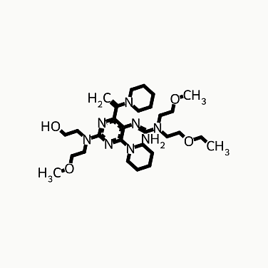 C=C(c1nc(N(CCO)CCOC)nc(N2CCCCC2)c1/N=C(\N)N(CCOC)CCOCC)N1CCCCC1